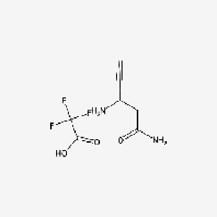 C#CC(N)CC(N)=O.O=C(O)C(F)(F)F